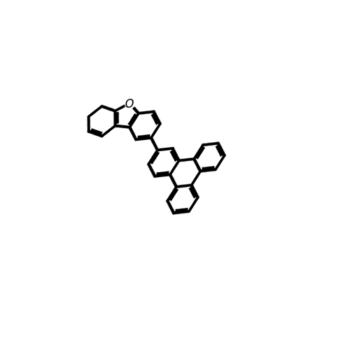 C1=Cc2c(oc3ccc(-c4ccc5c6ccccc6c6ccccc6c5c4)cc23)CC1